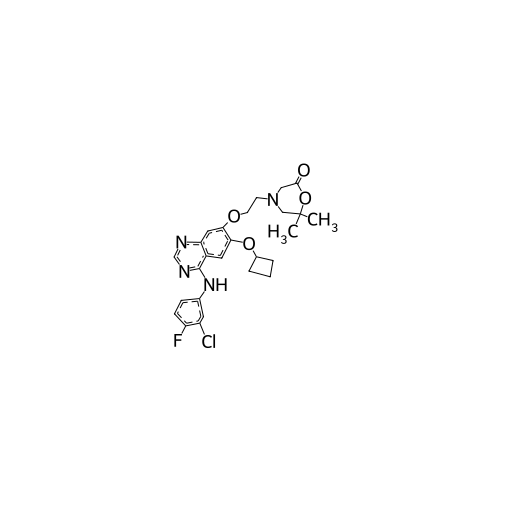 CC1(C)CN(CCOc2cc3ncnc(Nc4ccc(F)c(Cl)c4)c3cc2OC2CCC2)CC(=O)O1